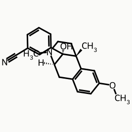 COc1ccc2c(c1)[C@@]1(C)CCN(C)[C@H](C2)[C@@]1(O)c1cccc(C#N)c1